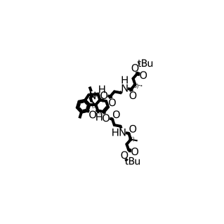 Cc1ccc2c3c1O[C@H]1C(OC(=O)CCNC(=O)[C@@H](C)CC(=O)OC(C)(C)C)=CC[C@@]4(OC(=O)CCNC(=O)[C@@H](C)CC(=O)OC(C)(C)C)[C@@H](C2)N(C)CC[C@]314